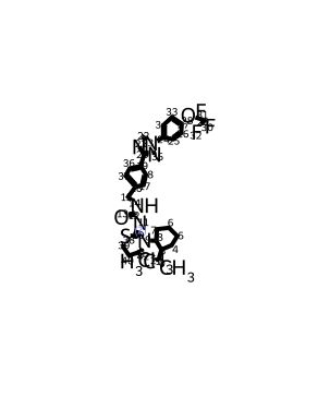 CC(C)C1CCCCC1N1/C(=N/C(=O)NCc2ccc(-c3ncn(-c4ccc(OC(F)(F)F)cc4)n3)cc2)SCCC1C